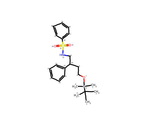 CC(C)(C)[Si](C)(C)OCCC(CNS(=O)(=O)c1ccccc1)c1ccccc1